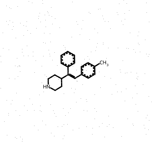 Cc1ccc(C=C(c2ccccc2)C2CCNCC2)cc1